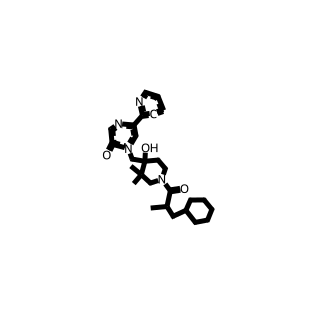 CC(CC1CCCCC1)C(=O)N1CCC(O)(Cn2cc(-c3ccccn3)ncc2=O)C(C)(C)C1